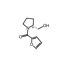 O=C(c1cc[c]o1)N1CCC[C@@H]1CO